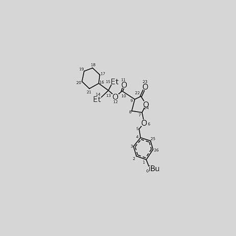 CCC(C)c1ccc(COC2CC(C(=O)OC(CC)(CC)C3CCCCC3)C(=O)O2)cc1